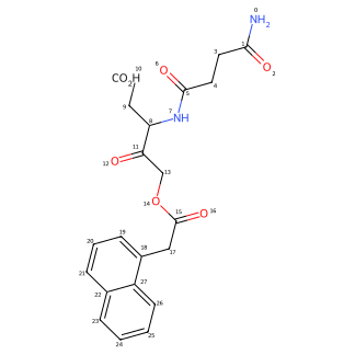 NC(=O)CCC(=O)NC(CC(=O)O)C(=O)COC(=O)Cc1cccc2ccccc12